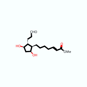 COC(=O)C=CCCCC[C@@H]1[C@@H](CCC=O)[C@H](O)C[C@@H]1O